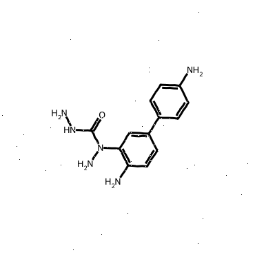 NNC(=O)N(N)c1cc(-c2ccc(N)cc2)ccc1N